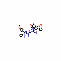 CCOc1ccc(-c2nc(NC(=O)CN3CN(C4(C)C(=O)C(C)C=c5c4ccc4c5=CC(=O)c5ccccc5-4)c4ncncc43)[nH]c2-c2ccccc2)cc1